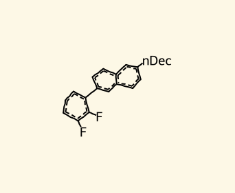 CCCCCCCCCCc1ccc2cc(-c3cccc(F)c3F)ccc2c1